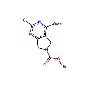 COc1nc(C(F)(F)F)nc2c1CN(C(=O)OC(C)(C)C)C2